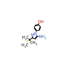 CSC(C)(C)c1cc(N)n(-c2ccc(O)cc2)n1